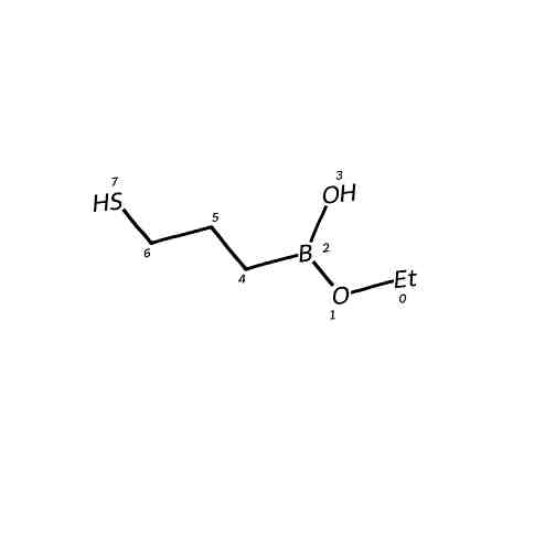 CCOB(O)CCCS